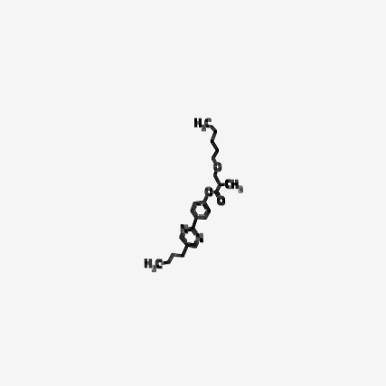 CCCCCOCC(C)C(=O)Oc1ccc(-c2ncc(CCCC)cn2)cc1